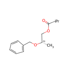 CC(C)C(=O)OC[C@H](C)OCc1ccccc1